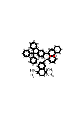 CC1(C)CCC(C)(C)c2cc(N(c3ccccc3)c3cc4c(cc3-c3ccc5c(c3)CCCC5)-c3ccccc3C4(c3ccccc3)c3ccccc3)ccc21